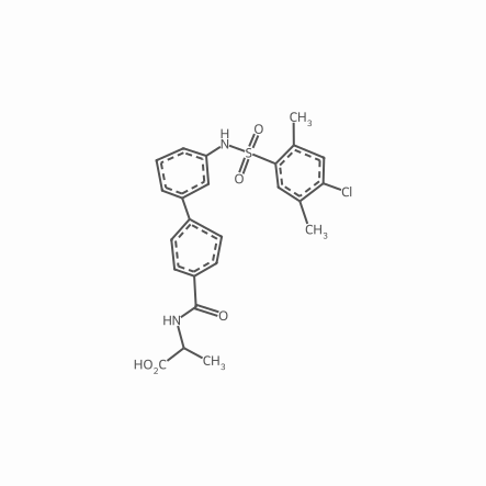 Cc1cc(S(=O)(=O)Nc2cccc(-c3ccc(C(=O)NC(C)C(=O)O)cc3)c2)c(C)cc1Cl